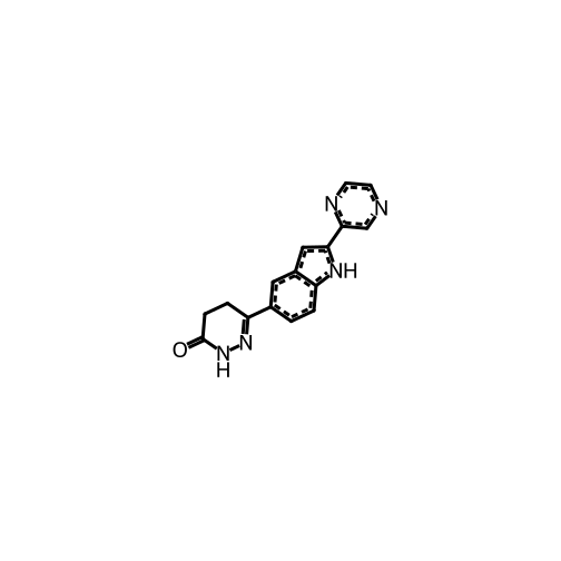 O=C1CCC(c2ccc3[nH]c(-c4cnccn4)cc3c2)=NN1